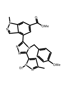 CCn1nc(C)cc1-c1nnc(-c2cc(C(=O)OC)cc3c2cnn3C)n1Cc1ccc(OC)cc1